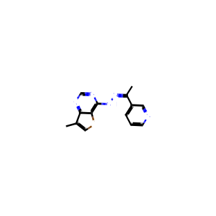 CC(=NNc1ncnc2c(C)csc12)c1cccnc1